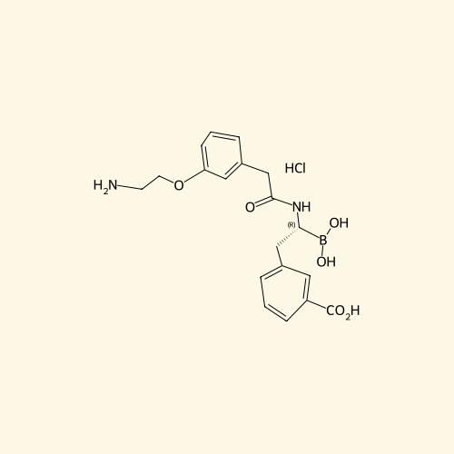 Cl.NCCOc1cccc(CC(=O)N[C@@H](Cc2cccc(C(=O)O)c2)B(O)O)c1